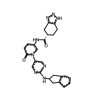 O=C(Nc1ccc(=O)n(-c2cnc(NC3Cc4ccccc4C3)nc2)c1)[C@H]1CCc2[nH]nnc2C1